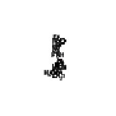 CC(C)(C)OC(=O)N[C@@H]1[C@@H]2CC3C[C@H]1C[C@@](CNc1nc(NCc4ccccc4OC(F)(F)F)ncc1F)(C3)C2